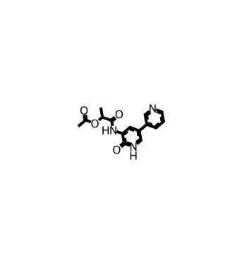 CC(=O)OC(C)C(=O)Nc1cc(-c2cccnc2)c[nH]c1=O